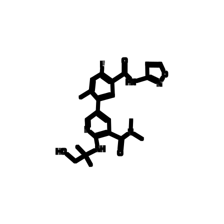 Cc1cc(F)c(C(=O)Nc2ccon2)cc1-c1cnc(NC(C)(C)CO)c(C(=O)N(C)C)c1